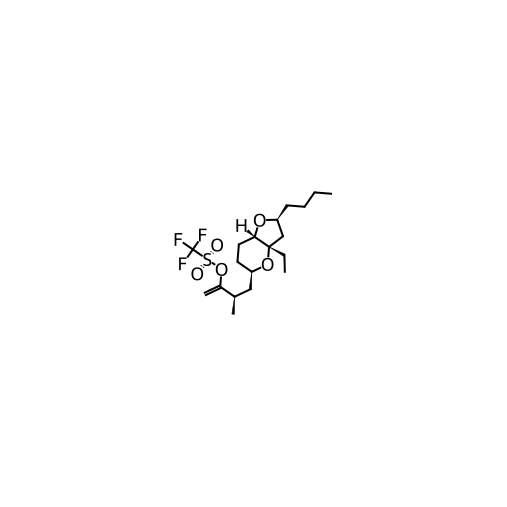 C=C(OS(=O)(=O)C(F)(F)F)[C@H](C)C[C@H]1CC[C@@H]2O[C@@H](CCCC)C[C@]2(CC)O1